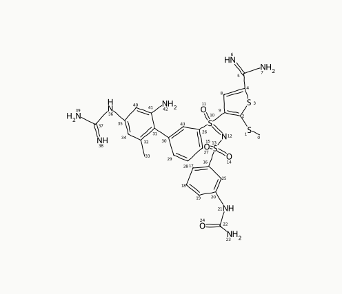 CSc1sc(C(=N)N)cc1S(=O)(=NS(=O)(=O)c1cccc(NC(N)=O)c1)c1cccc(-c2c(C)cc(NC(=N)N)cc2N)c1